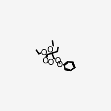 CCOC(=O)C(CC)(OCC)C(=O)OOc1ccccc1